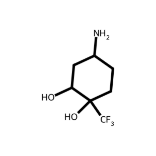 NC1CCC(O)(C(F)(F)F)C(O)C1